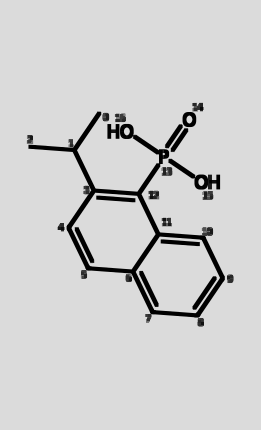 CC(C)c1ccc2ccccc2c1P(=O)(O)O